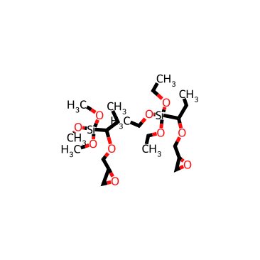 CCC(OCC1CO1)[Si](OC)(OC)OC.CCO[Si](OCC)(OCC)C(CC)OCC1CO1